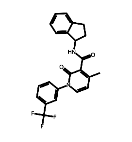 Cc1ccn(-c2cccc(C(F)(F)F)c2)c(=O)c1C(=O)NC1CCc2ccccc21